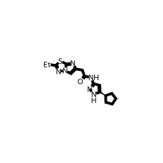 CCc1nn2cc(CC(=O)Nc3cc([C@H]4C[CH]CC4)[nH]n3)nc2s1